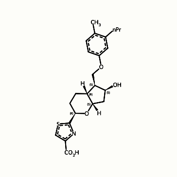 CCCc1cc(OC[C@@H]2[C@H]3CC[C@H](c4nc(C(=O)O)cs4)O[C@H]3C[C@@H]2O)ccc1C